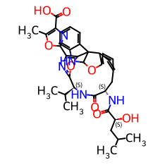 Cc1oc(-c2nc3oc2C24c5ccccc5NC2Oc2ccc(cc24)C[C@H](NC(=O)[C@@H](O)CC(C)C)C(=O)N[C@H]3C(C)C)nc1C(=O)O